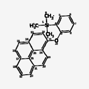 [CH2][Si](C)(C)c1ccccc1Oc1ccc2ccc3cccc4ccc1c2c34